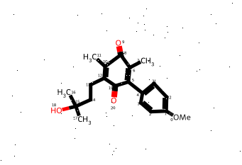 COc1ccc(C2=C(C)C(=O)C(C)=C(CCC(C)(C)O)C2=O)cc1